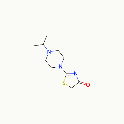 CC(C)N1CCN(C2=NC(=O)CS2)CC1